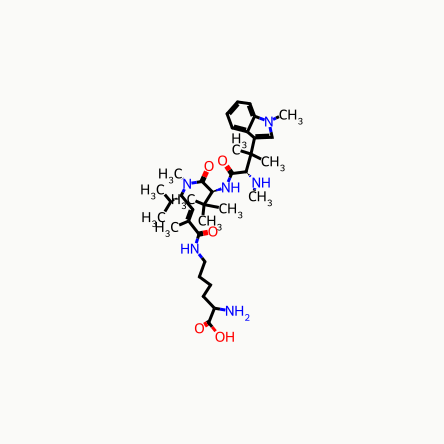 CN[C@H](C(=O)N[C@H](C(=O)N(C)[C@H](/C=C(\C)C(=O)NCCCCC(N)C(=O)O)C(C)C)C(C)(C)C)C(C)(C)c1cn(C)c2ccccc12